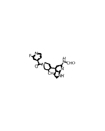 CC1CN(C(=O)c2ccnc(F)c2)CC=C1c1cc(NC=O)nc2[nH]ccc12